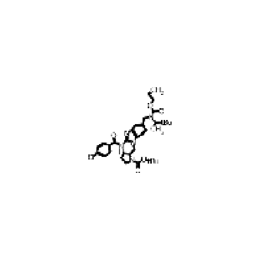 C=CCOC(=O)N(Cc1ccc2c(c1)nc(NC(=O)c1ccc(Cl)cc1)n2CC1CCCN1C(=O)OC(C)(C)C)C(C)C(C)(C)C